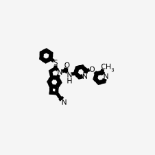 Cc1ncccc1Oc1ccc(NC(=O)N2c3cc4c(cc3CC2Sc2ccccc2)CC4C#N)cn1